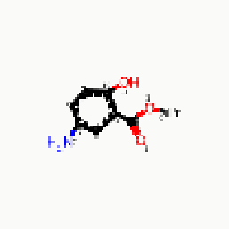 CC(C)OC(=O)c1cc(N)ccc1O